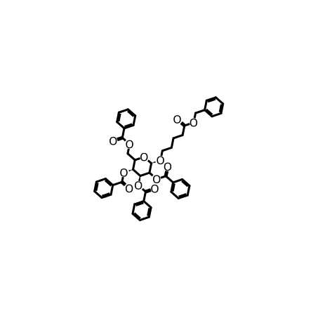 O=C(CCCCO[C@H]1OC(COC(=O)c2ccccc2)[C@@H](OC(=O)c2ccccc2)[C@H](OC(=O)c2ccccc2)C1OC(=O)c1ccccc1)OCc1ccccc1